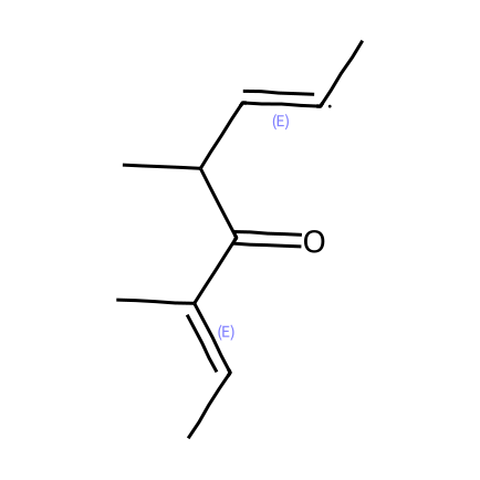 C/[C]=C/C(C)C(=O)/C(C)=C/C